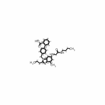 CCCCNC(=O)CNc1cc(C)c2nc(CCC)n(Cc3ccc(-c4ccccc4C(=O)O)cc3)c2c1